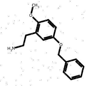 COc1ccc(OCc2ccccc2)cc1CCN